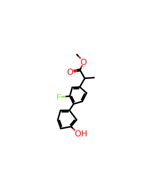 COC(=O)C(C)c1ccc(-c2cccc(O)c2)c(F)c1